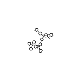 CC1(C)c2ccccc2-c2ccc(N(c3ccc(-c4ccccc4)cc3)c3ccc(-c4ccc5c(c4)c4cc(C6(c7ccccc7)c7ccccc7-c7ccccc76)ccc4n5-c4ccccc4)cc3)cc21